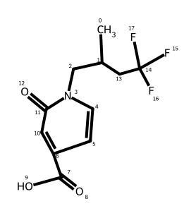 CC(Cn1ccc(C(=O)O)cc1=O)CC(F)(F)F